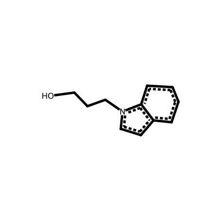 OCCCn1ccc2ccccc21